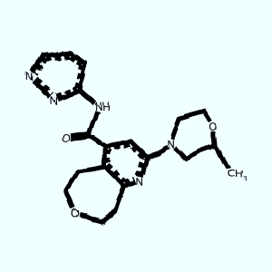 CC1CN(c2cc(C(=O)Nc3cccnn3)c3c(n2)CCOCC3)CCO1